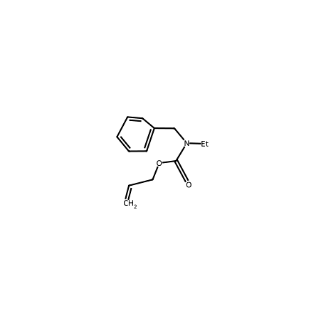 C=CCOC(=O)N(CC)Cc1ccccc1